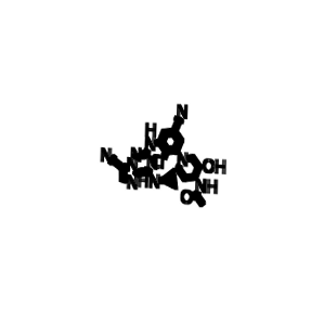 CC(=O)N[C@@H]1CCN(c2cc(C#N)cc(Nc3nc(NC4CC4)c4ncc(C#N)n4n3)c2Cl)C[C@H]1O